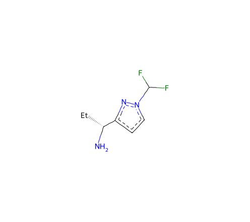 CC[C@@H](N)c1ccn(C(F)F)n1